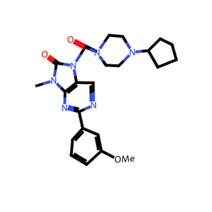 COc1cccc(-c2ncc3c(n2)n(C)c(=O)n3C(=O)N2CCN(C3CCCC3)CC2)c1